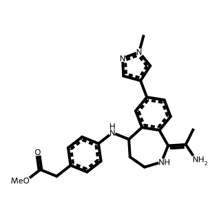 COC(=O)Cc1ccc(NC2CCN/C(=C(/C)N)c3ccc(-c4cnn(C)c4)cc32)cc1